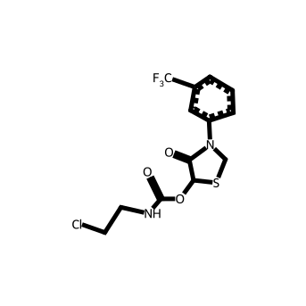 O=C(NCCCl)OC1SCN(c2cccc(C(F)(F)F)c2)C1=O